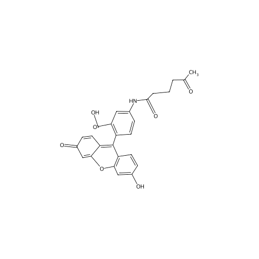 CC(=O)CCCC(=O)Nc1ccc(-c2c3ccc(=O)cc-3oc3cc(O)ccc23)c(C(=O)O)c1